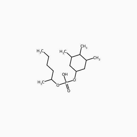 CCCCC(C)OP(=O)(O)OC1CC(C)C(C)C(C)C1